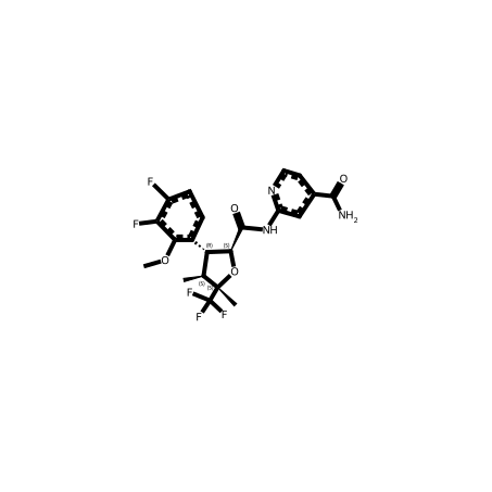 COc1c([C@@H]2[C@@H](C(=O)Nc3cc(C(N)=O)ccn3)O[C@](C)(C(F)(F)F)[C@H]2C)ccc(F)c1F